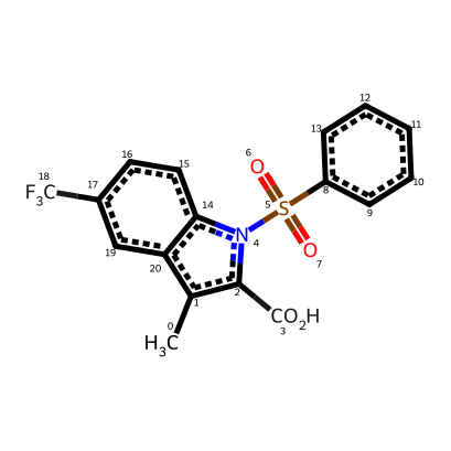 Cc1c(C(=O)O)n(S(=O)(=O)c2ccccc2)c2ccc(C(F)(F)F)cc12